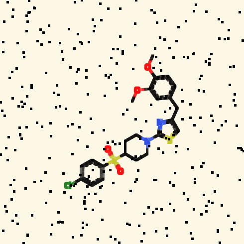 COc1ccc(Cc2csc(N3CCC(S(=O)(=O)c4ccc(Cl)cc4)CC3)n2)cc1OC